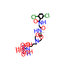 C[C@@H](NC(=O)CNC(=O)c1cc(Cl)ccc1Cl)B1OCCN(CCCC(=O)NC(P(=O)(O)O)P(=O)(O)O)CCO1